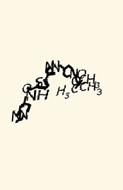 CC(C)(C)OC(=O)N1CCC(Cn2cc(-c3ccc(C(=O)NCc4ccn5ccnc5c4)s3)cn2)CC1